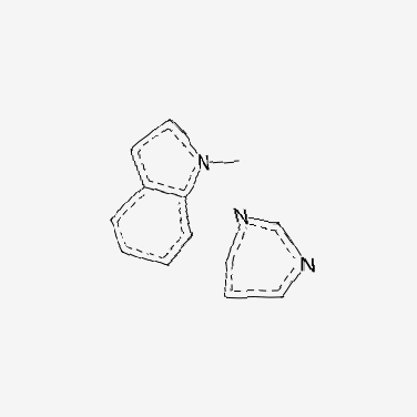 Cn1ccc2ccccc21.c1cncnc1